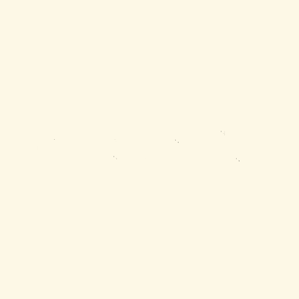 Cc1ccc(NC(=O)c2cccc(C(F)(F)F)c2)cc1-c1cc2cnc(O)nc2c(=O)n1C